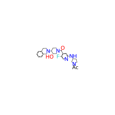 CC(=O)N1CCC(Nc2cc(C(=O)N3CC[C@H](N4CCc5ccccc5C4)[C@@H](O)C3)c(F)cn2)C1